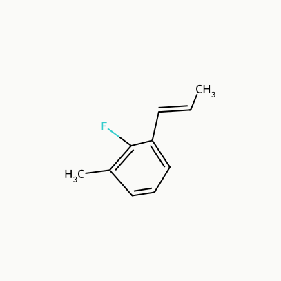 C/C=C/c1cccc(C)c1F